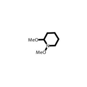 COC1CCCCN1OC